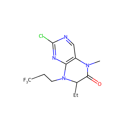 CCC1C(=O)N(C)c2cnc(Cl)nc2N1CCC(F)(F)F